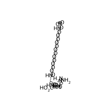 NC(N)=Nc1cccc(C(=O)NCC(=O)N[C@@H](CC(=O)O)C(=O)Nc2ccc(CCCCNC(=O)CCOCCOCCOCCOCCOCCOCCOCCOCCOCCOCCOCCOCCNC(=O)CCN3C(=O)C=CC3=O)cc2)c1